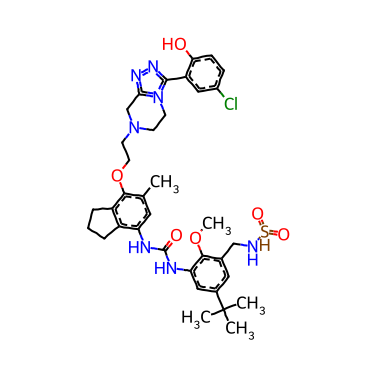 COc1c(CN[SH](=O)=O)cc(C(C)(C)C)cc1NC(=O)Nc1cc(C)c(OCCN2CCn3c(nnc3-c3cc(Cl)ccc3O)C2)c2c1CCC2